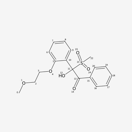 COCCOc1ccccc1C(O)(C(=O)c1ccccc1)S(C)(=O)=O